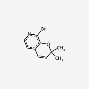 CC1(C)C=Cc2ccnc(Br)c2O1